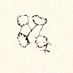 CC1(C)OB(c2cccc3c2C2(c4ccccc4-c4ccccc42)c2ccccc2-3)OC1(C)C